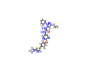 Cc1ccccc1-n1nc(CC(C)C)cc1NC(=O)Nc1cnc(Oc2ccc(-c3cnc(N4CCC4)s3)cc2)nc1